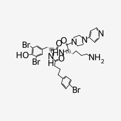 NCCCC[C@H](NC(=O)[C@@H](Cc1cc(Br)c(O)c(Br)c1)NC(=O)CCCc1ccc(Br)cc1)C(=O)N1CCN(c2ccncc2)CC1